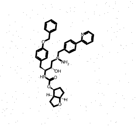 NN(Cc1ccc(-c2ccccn2)cc1)C[C@H](O)[C@H](Cc1ccc(OCc2ccccc2)cc1)NC(=O)O[C@H]1CC[C@H]2OCC[C@@H]12